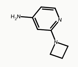 Nc1ccnc(N2CCC2)c1